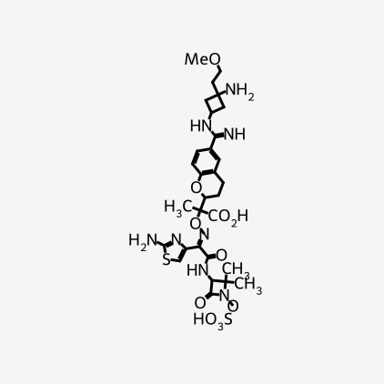 COCCC1(N)CC(NC(=N)c2ccc3c(c2)CCC(C(C)(ON=C(C(=O)NC2C(=O)N(OS(=O)(=O)O)C2(C)C)c2csc(N)n2)C(=O)O)O3)C1